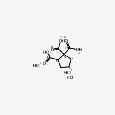 Cl.Cl.Cl.O=C(O)C1CCCC1(C(=O)O)C(=O)O